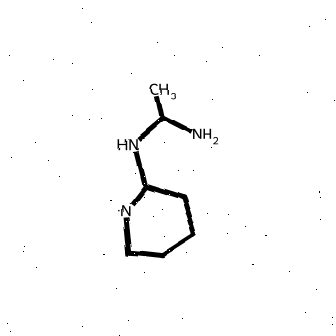 CC(N)NC1CCCC[N]1